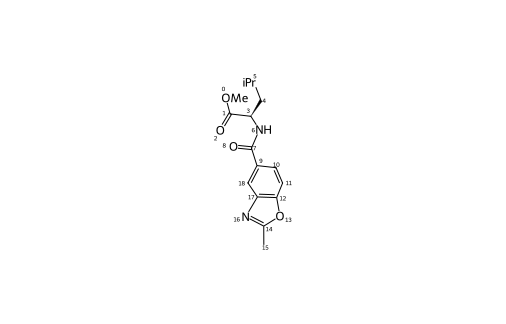 COC(=O)[C@@H](CC(C)C)NC(=O)c1ccc2oc(C)nc2c1